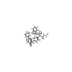 CCCC(C)C(C(=O)Nc1ccccc1C)c1ccc(CN2N=C(c3ccccc3)OCC2=O)cc1